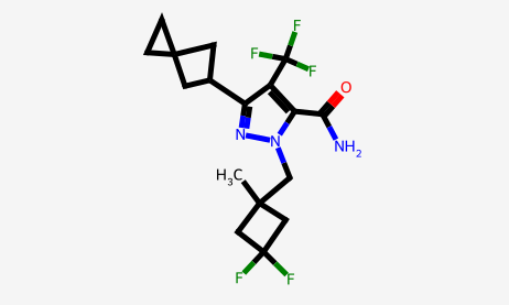 CC1(Cn2nc(C3CC4(CC4)C3)c(C(F)(F)F)c2C(N)=O)CC(F)(F)C1